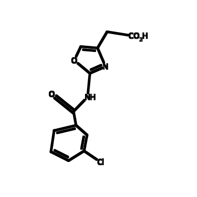 O=C(O)Cc1coc(NC(=O)c2cccc(Cl)c2)n1